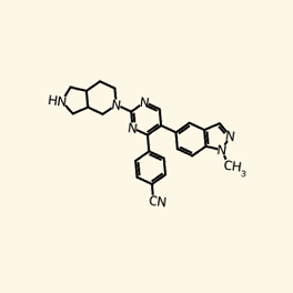 Cn1ncc2cc(-c3cnc(N4CCC5CNCC5C4)nc3-c3ccc(C#N)cc3)ccc21